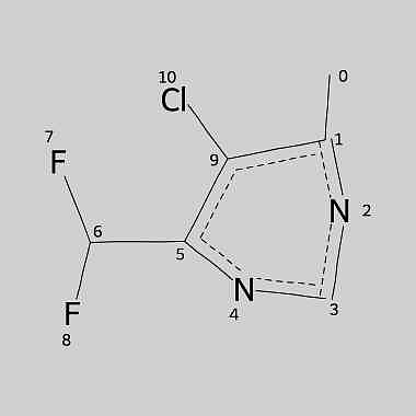 Cc1ncnc(C(F)F)c1Cl